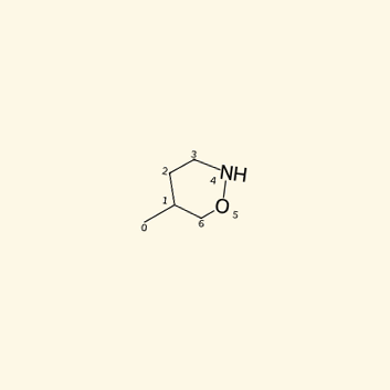 CC1CCNOC1